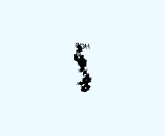 CCc1cc(CO/N=C(\C)c2ccc3c(c2)CCN(CCC(=O)O)C3)ccc1C1CCCCC1